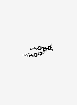 CNCC1CCN(Cc2cc(Oc3cnc(N4CCN(CCC(C)C(=O)O)CC4)nc3)nc(-c3cc(Cl)cc(Cl)c3)c2)CC1